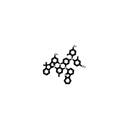 Cc1cc2c3c(c1)-n1c4c(c5cc(C(C)(C)C)cc(c51)B3c1ccc(N(c3ccc(C(C)(C)C)cc3C)c3ccc(C(C)(C)C)cc3C)cc1N2c1cccc2c1sc1ccccc12)C(C)(C)c1ccccc1-4